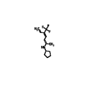 C=C/C(=C\C=C(/C)NC1CCCC1)C(F)(F)F